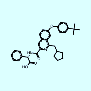 CC(C)(C)c1ccc(Oc2ccc3cc(C(=O)N[C@H](C(=O)O)c4ccccc4)nc(CC4CCCC4)c3c2)cc1